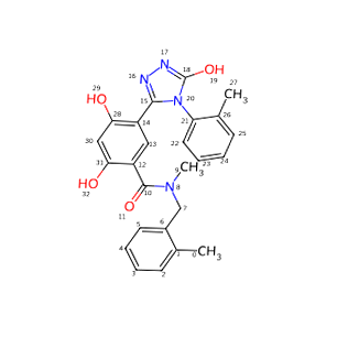 Cc1ccccc1CN(C)C(=O)c1cc(-c2nnc(O)n2-c2ccccc2C)c(O)cc1O